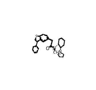 CN(C(=O)Cc1ccc2scc(-c3ccccc3)c2c1)[C@@H]1CCCC[C@H]1N1CCCC1